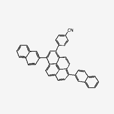 N#Cc1ccc(-c2cc(-c3ccc4ccccc4c3)c3ccc4ccc(-c5ccc6ccccc6c5)c5ccc2c3c45)cc1